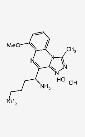 COc1cccc2c1nc(C(N)CCCN)c1nnc(C)n12.Cl.Cl